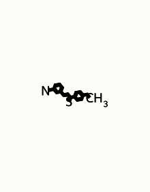 CCc1ccc(C(=S)C=Cc2cccc(C#N)c2)cc1